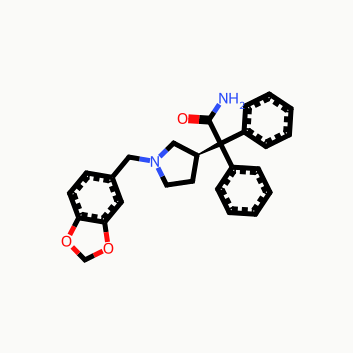 NC(=O)C(c1ccccc1)(c1ccccc1)[C@H]1CCN(Cc2ccc3c(c2)OCO3)C1